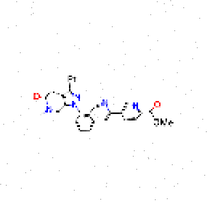 CCc1nn(-c2cccc3cc(-c4ccc(C(=O)OC)nc4)ncc23)c2c1CC(=O)N(C)C2